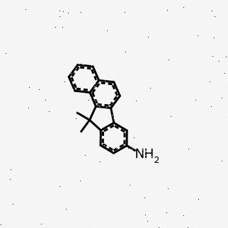 CC1(C)c2ccc(N)cc2-c2ccc3ccccc3c21